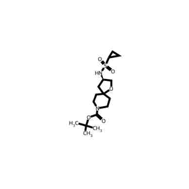 CC(C)(C)OC(=O)N1CCC2(CC1)C[C@@H](NS(=O)(=O)C1CC1)CO2